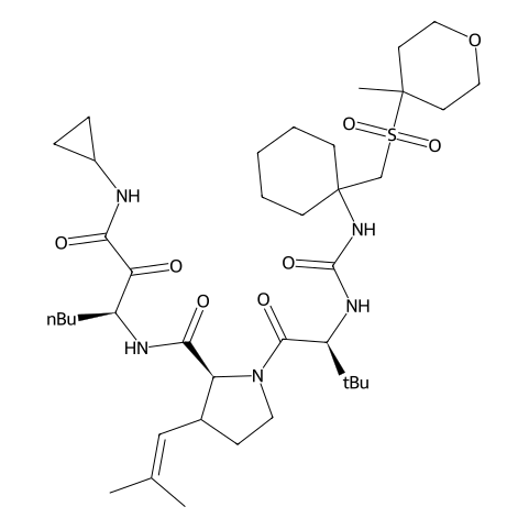 CCCC[C@H](NC(=O)[C@@H]1C(C=C(C)C)CCN1C(=O)[C@@H](NC(=O)NC1(CS(=O)(=O)C2(C)CCOCC2)CCCCC1)C(C)(C)C)C(=O)C(=O)NC1CC1